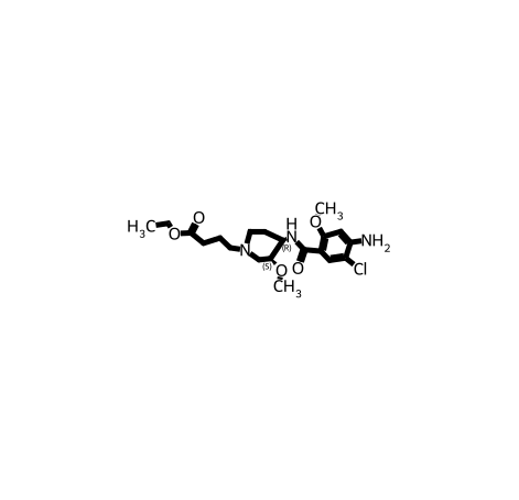 CCOC(=O)CCCN1CC[C@@H](NC(=O)c2cc(Cl)c(N)cc2OC)[C@@H](OC)C1